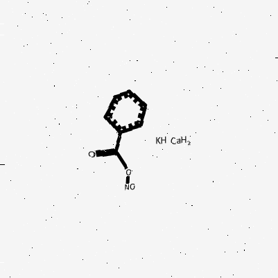 O=NOC(=O)c1ccccc1.[CaH2].[KH]